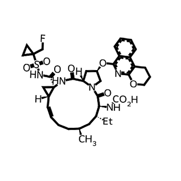 CC[C@@H]1C[C@@H](C)CC/C=C\[C@@H]2C[C@@]2(C(=O)NS(=O)(=O)C2(CF)CC2)NC(=O)[C@@H]2C[C@@H](Oc3nc4c(c5ccccc35)CCCO4)CN2C(=O)[C@H]1NC(=O)O